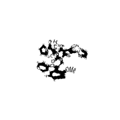 COc1ccc(F)cc1[C@H](Cn1c(=O)n(C(C)(C)C(=O)N2CCCC2)c(=O)c2c(C)c(-n3nccn3)sc21)OC1CCOCC1